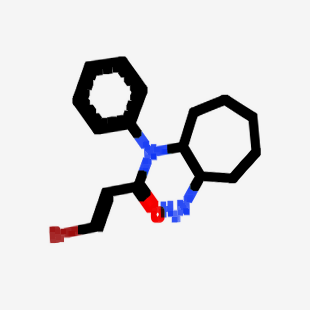 NC1CCCCCC1N(C(=O)C=CBr)c1ccccc1